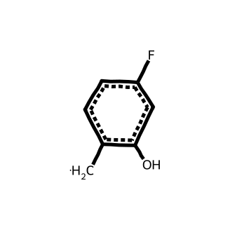 [CH2]c1ccc(F)cc1O